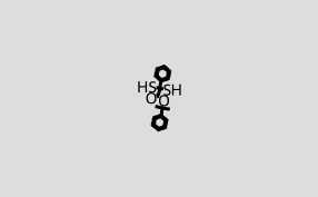 CC(C)(OC(=O)C(S)(S)c1ccccc1)c1ccccc1